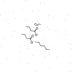 CCCC(=O)[O-].CCCC(=O)[O-].CCCCCC.[Cu+2]